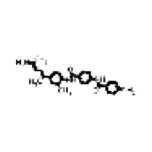 C/C(N)=C\C=C(/C)C1=CC=C(NC(=O)c2ccc(NC(=O)c3ccc(N)cc3)cc2)[C@@H](C)C1